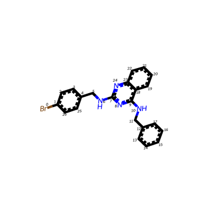 Brc1ccc(CNc2nc(NCc3ccccc3)c3ccccc3n2)cc1